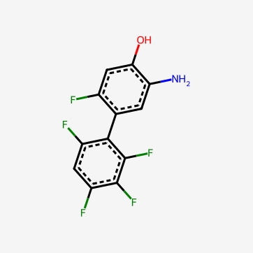 Nc1cc(-c2c(F)cc(F)c(F)c2F)c(F)cc1O